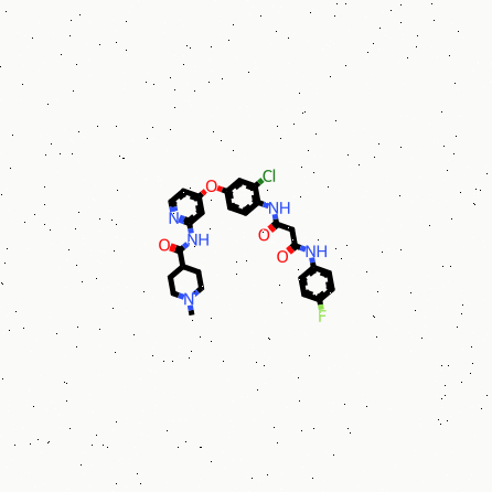 CN1CCC(C(=O)Nc2cc(Oc3ccc(NC(=O)CC(=O)Nc4ccc(F)cc4)c(Cl)c3)ccn2)CC1